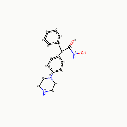 O=C(NO)C(c1ccccc1)c1ccc(N2CCNCC2)cc1